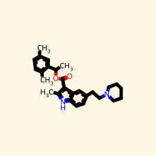 Cc1ccc(C)c(C(C)OC(=O)c2c(C)[nH]c3ccc(CCN4CCCCC4)cc23)c1